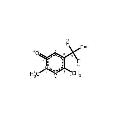 Cc1nn(C)c(=O)cc1C(F)(F)F